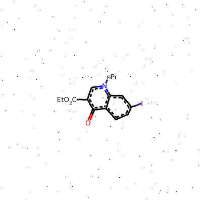 CCCn1cc(C(=O)OCC)c(=O)c2ccc(I)cc21